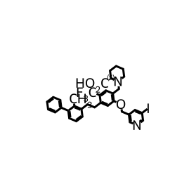 Cc1c(CCc2cc(OCc3cncc(I)c3)c(CN3CCCC[C@H]3C(=O)O)cc2C(F)(F)F)cccc1-c1ccccc1